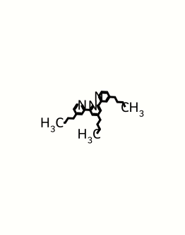 CCCCc1ccnc(-c2cc(CCCC)cc(-c3cc(CCCC)ccn3)n2)c1